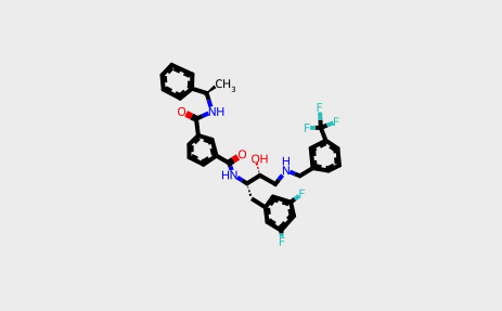 C[C@@H](NC(=O)c1cccc(C(=O)N[C@@H](Cc2cc(F)cc(F)c2)[C@H](O)CNCc2cccc(C(F)(F)F)c2)c1)c1ccccc1